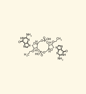 CCO[C@@H]1[C@@H]2OP(=O)(O)OC[C@H]3O[C@@H](n4cnc5c(=O)[nH]c(N)nc54)[C@H](OCC)[C@@H]3OP(=O)(O)OC[C@H]2O[C@H]1n1cnc2c(=O)[nH]c(N)nc21